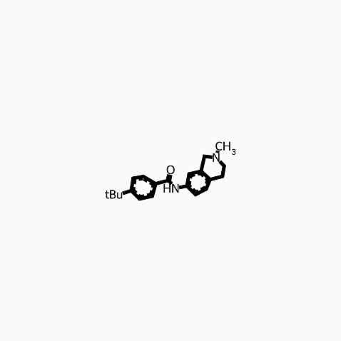 CN1CCc2ccc(NC(=O)c3ccc(C(C)(C)C)cc3)cc2C1